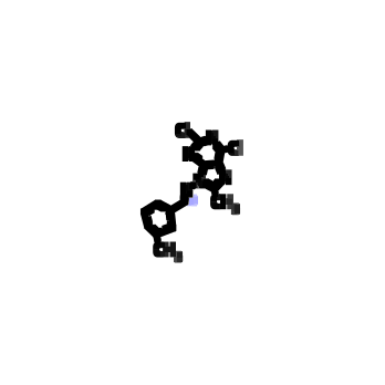 Cc1cccc(/C=N/n2c(C)nc3c(Cl)nc(Cl)nc32)c1